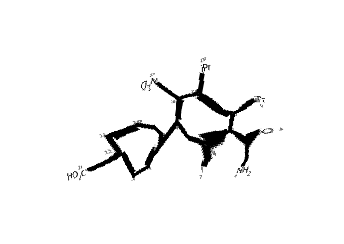 CC(C)c1c(C(N)=O)c(I)c(-c2ccc(C(=O)O)cc2)c([N+](=O)[O-])c1C(C)C